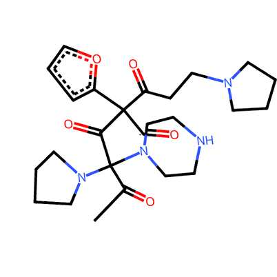 CC(=O)C(C(=O)C([C]=O)(C(=O)CCN1CCCC1)c1ccco1)(N1CCCC1)N1CCNCC1